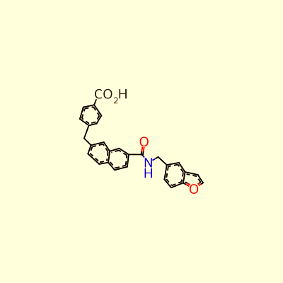 O=C(O)c1ccc(Cc2ccc3ccc(C(=O)NCc4ccc5occc5c4)cc3c2)cc1